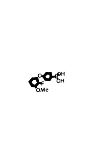 COc1cccc(Oc2ccc(B(O)O)cc2)c1F